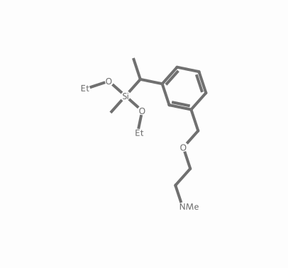 CCO[Si](C)(OCC)C(C)c1cccc(COCCNC)c1